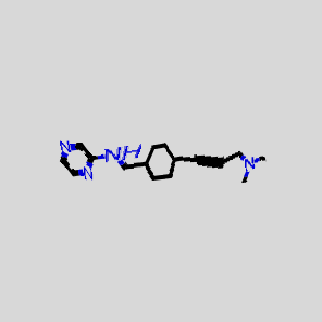 CN(C)CC#CC1CCC(CNc2cnccn2)CC1